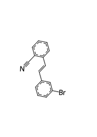 N#Cc1ccccc1/C=C/c1cccc(Br)c1